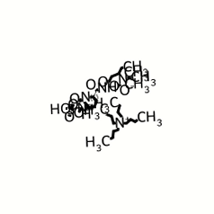 CCC(CCONC(=O)[C@@H]1CC[C@@H]2CN1C(=O)N2OS(=O)(=O)O)N(C(=O)[O-])C(C)(C)C.CCCC[N+](CCCC)(CCCC)CCCC